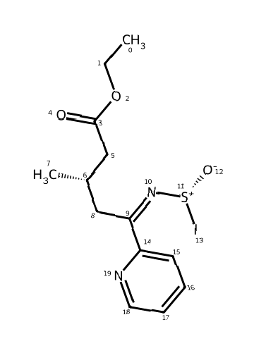 CCOC(=O)C[C@@H](C)C/C(=N/[S@+]([O-])I)c1ccccn1